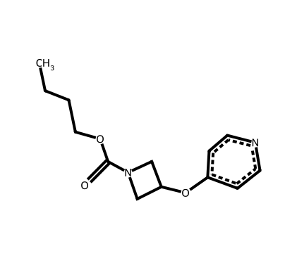 CCCCOC(=O)N1CC(Oc2ccncc2)C1